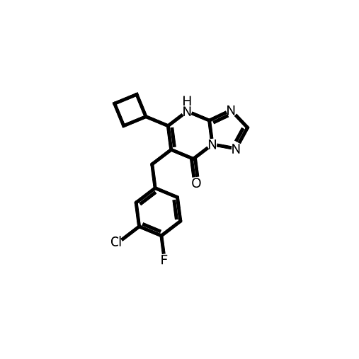 O=c1c(Cc2ccc(F)c(Cl)c2)c(C2CCC2)[nH]c2ncnn12